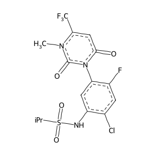 CC(C)S(=O)(=O)Nc1cc(-n2c(=O)cc(C(F)(F)F)n(C)c2=O)c(F)cc1Cl